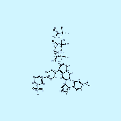 COc1ccc(-c2n[nH]cc2-c2ccc3ncnc(N4CCN(c5cccc(S(C)(=O)=O)c5)CC4)c3c2)cc1.O=C(O)C(F)(F)F.O=C(O)C(F)(F)F.O=C(O)C(F)(F)F